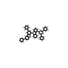 c1ccc(-c2ccc3sc4c(-n5c6ccccc6c6c(-c7nc(-c8ccccc8)nc(-c8ccccc8)n7)cccc65)cc(-c5ccccc5)cc4c3c2)cc1